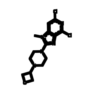 Cn1c(N2CCN(C3COC3)CC2)nc2c(Cl)nc(Cl)cc21